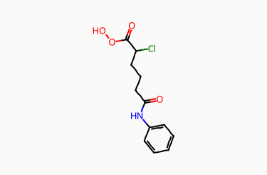 O=C(CCCC(Cl)C(=O)OO)Nc1ccccc1